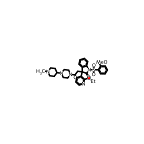 CCOc1ncccc1C1(CC(=O)N2CCN(C3CCN(C)CC3)CC2)C(=O)N(S(=O)(=O)c2ccccc2OC)c2ccccc21